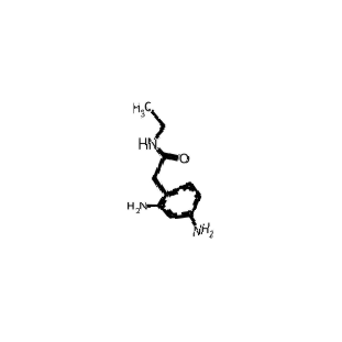 CCNC(=O)Cc1ccc(N)cc1N